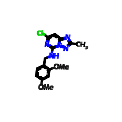 COc1ccc(CNc2nc(Cl)cc3nc(C)nn23)c(OC)c1